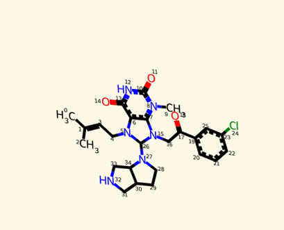 CC(C)=CCN1c2c(n(C)c(=O)[nH]c2=O)N(CC(=O)c2cccc(Cl)c2)C1N1CCC2CNCC21